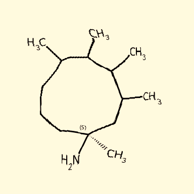 CC1CCC[C@](C)(N)CC(C)C(C)C1C